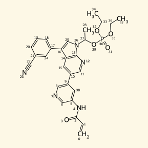 C=CC(=O)Nc1cncc(-c2cnc3c(c2)c(-c2cccc(C#N)c2)cn3C(C)OP(=O)(OCC)OCC)c1